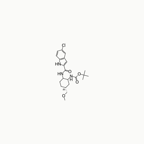 COC[C@@H]1CCC(NC(=O)c2cc3cc(Cl)ccc3[nH]2)C(NC(=O)OC(C)(C)C)C1